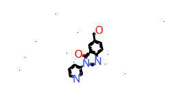 O=Cc1ccc2ncn(-c3cccnc3)c(=O)c2c1